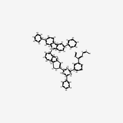 C=C/C(=C\C=C/C)c1cccc(-c2nc(C3=Cc4oc5c(-n6c7ccc(-c8ccccc8)cc7c7ccc(-c8ccccc8)cc76)cccc5c4CC3)nc(-c3ccccc3)n2)c1